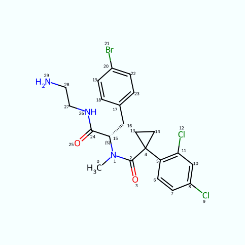 CN(C(=O)C1(c2ccc(Cl)cc2Cl)CC1)[C@@H](Cc1ccc(Br)cc1)C(=O)NCCN